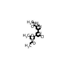 C=CC(=O)N1C[C@H](C)O[C@@H](c2cc(Cl)nc(-c3cnnc(C(=O)NC)c3)c2)C1